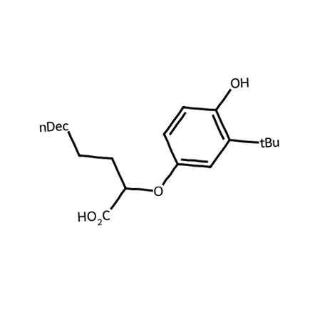 CCCCCCCCCCCCC(Oc1ccc(O)c(C(C)(C)C)c1)C(=O)O